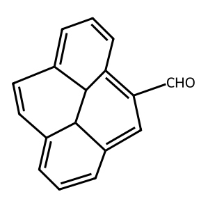 O=CC1=C2C=CC=C3C=CC4=CC=CC(=C1)C4C32